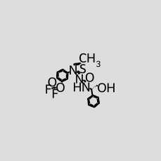 Cc1cn(-c2ccc3c(c2)OC(F)(F)O3)/c(=N/C(=O)N[C@H](CO)c2ccccc2)s1